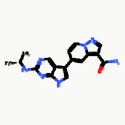 C[C@H](Nc1ncc2c(-c3ccn4ncc(C(N)=O)c4c3)c[nH]c2n1)C(F)(F)F